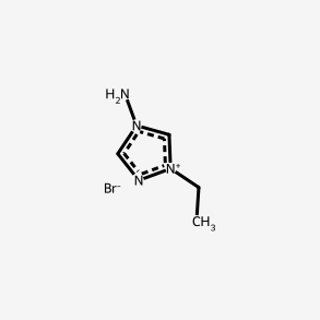 CC[n+]1cn(N)cn1.[Br-]